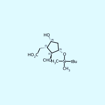 CC(C)(C)[Si](C)(C)O[C@H]1C[C@@H](O)[C@@H](CC(=O)O)[C@@H]1C=O